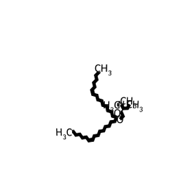 CCCCCC/C=C\CCCCCCCCC1(CCCCCCCC/C=C\CCCCCC)OC[C@H](C(CC)N(C)C)O1